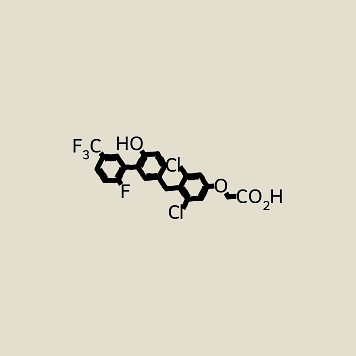 O=C(O)COc1cc(Cl)c(Cc2ccc(O)c(-c3cc(C(F)(F)F)ccc3F)c2)c(Cl)c1